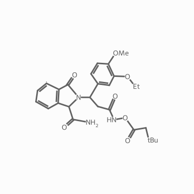 CCOc1cc(C(CC(=O)NOC(=O)CC(C)(C)C)N2C(=O)c3[c]cccc3C2C(N)=O)ccc1OC